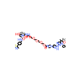 CC(=O)c1c(C)c2cnc(Nc3ccc(N4CCN(C(=O)COCCOCCOCCOCCOCC(=O)N[C@H](C(=O)N5C[C@H](O)C[C@H]5C(=O)NCc5ccc(-c6scnc6C)cc5)C(C)(C)C)CC4)cn3)nc2n(C2CCCC2)c1=O